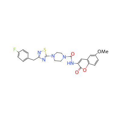 COc1ccc2oc(=O)c(NC(=O)N3CCN(c4nc(Cc5ccc(F)cc5)ns4)CC3)cc2c1